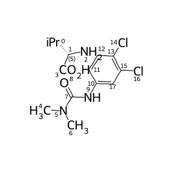 CC(C)[C@H](N)C(=O)O.CN(C)C(=O)Nc1ccc(Cl)c(Cl)c1